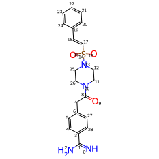 N=C(N)c1ccc(CC(=O)N2CCN(S(=O)(=O)C=Cc3ccccc3)CC2)cc1